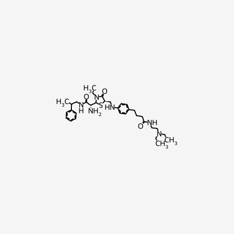 CCN(CC)CCNC(=O)CCCc1ccc(NC[C@H]2SC([C@H](N)C(=O)NCC(C)c3ccccc3)N(CC)C2=O)cc1